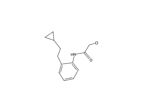 O=C(CCl)Nc1ccccc1CCC1CC1